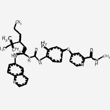 CC/C=C(/C=C(/NC(=O)Nc1ccc(Oc2ccnc(C(=O)NC)c2)cc1P)Nc1ccc2ncccc2c1)C(C)(C)C